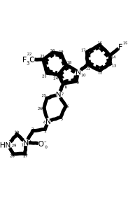 [O-][N+]1(CCN2CCN(c3cn(-c4ccc(F)cc4)c4ccc(C(F)(F)F)cc34)CC2)CCNC1